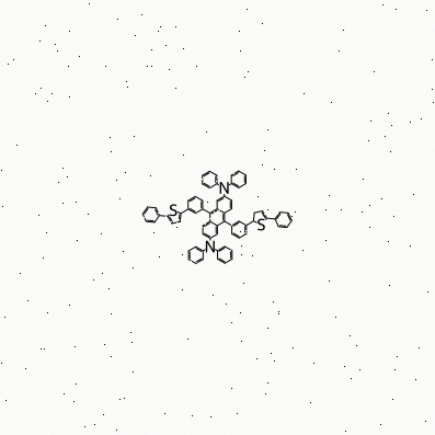 C1=C(c2ccccc2)SC(c2cccc(-c3c4ccc(N(c5ccccc5)c5ccccc5)cc4c(-c4cccc(-c5ccc(-c6ccccc6)s5)c4)c4ccc(N(c5ccccc5)c5ccccc5)cc34)c2)C1